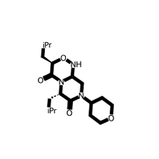 CC(C)C[C@H]1ONC2CN(C3CCOCC3)C(=O)[C@H](CC(C)C)N2C1=O